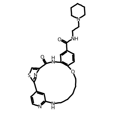 O=C(NCCN1CCCCC1)c1ccc2c(c1)NC(=O)c1csc(n1)-c1ccnc(c1)NCCCCCO2